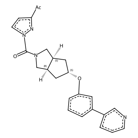 CC(=O)c1ccn(C(=O)N2C[C@H]3C[C@H](Oc4cccc(-c5cccnc5)c4)C[C@H]3C2)n1